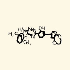 CN(c1cnc(-c2ccc(-c3cnc4c(c3)OCCO4)cc2O)nn1)[C@H]1C[C@]2(C)CC[C@@](C)(C2)[C@H]1F